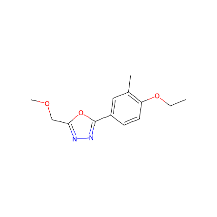 CCOc1ccc(-c2nnc(COC)o2)cc1C